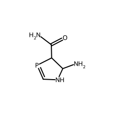 NC(=O)C1P=CNC1N